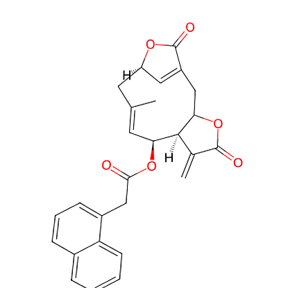 C=C1C(=O)OC2CC3=C[C@@H](C/C(C)=C/[C@H](OC(=O)Cc4cccc5ccccc45)[C@H]12)OC3=O